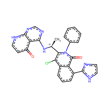 C[C@H](Nc1ncnc2[nH]ccc(=O)c12)c1c(Cl)c2cccc(-c3ncc[nH]3)c2c(=O)n1-c1ccccc1